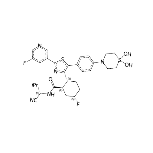 CC(C)[C@@H](C#N)NC(=O)[C@@H]1C[C@@H](F)CC[C@H]1c1nc(-c2cncc(F)c2)sc1-c1ccc(N2CCS(O)(O)CC2)cc1